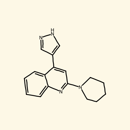 c1ccc2c(-c3cn[nH]c3)cc(N3CCCCC3)nc2c1